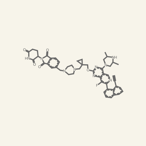 C#Cc1cccc2cccc(-c3ncc4c(N5CC(C)NC(C)C5)nc(OCC5(CN6CCN(Cc7ccc8c(c7)C(=O)N(C7CCC(=O)NC7=O)C8=O)CC6)CC5)nc4c3F)c12